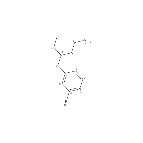 CCN(CCN)Cc1ccnc(F)c1